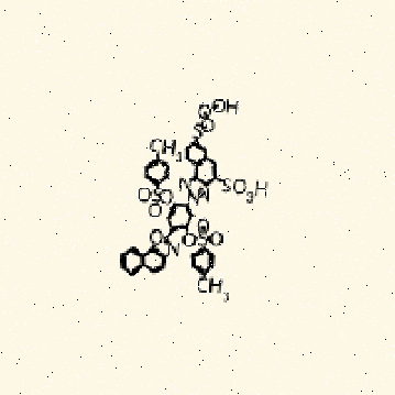 Cc1ccc(S(=O)(=O)Oc2cc(-n3nc4c(S(=O)(=O)O)cc5cc(SOOO)ccc5c4n3)c(OS(=O)(=O)c3ccc(C)cc3)cc2-c2nc3ccc4ccccc4c3o2)cc1